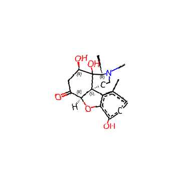 Cc1ccc(O)c2c1[C@]13CCN(C)[C@H](C)C1(O)[C@H](O)CC(=O)[C@@H]3O2